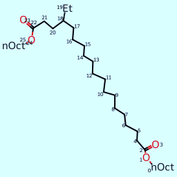 CCCCCCCCOC(=O)CCCCCCCCCCCCCCC(CC)CCC(=O)OCCCCCCCC